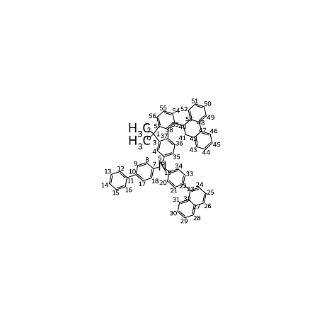 CC1(C)c2cc(N(c3ccc(-c4ccccc4)cc3)c3ccc(-c4cccc5ccccc45)cc3)ccc2-c2c(C3Cc4ccccc4-c4ccccc43)cccc21